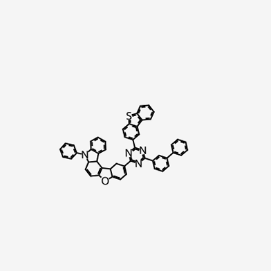 C1=CC2C(C3=C1OC1=CC=C(c4nc(-c5cccc(-c6ccccc6)c5)nc(-c5ccc6sc7ccccc7c6c5)n4)CC13)c1ccccc1N2c1ccccc1